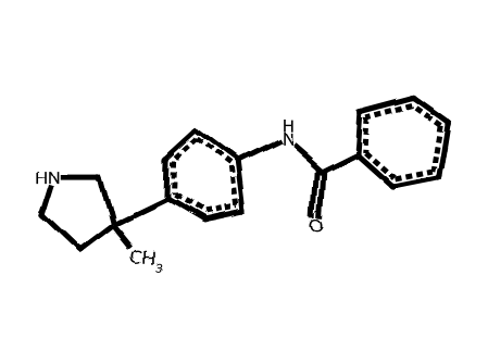 CC1(c2ccc(NC(=O)c3ccccc3)cc2)CCNC1